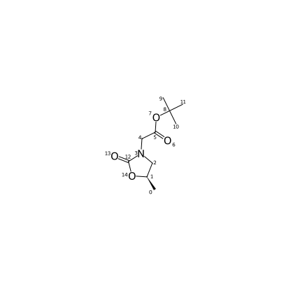 C[C@@H]1CN(CC(=O)OC(C)(C)C)C(=O)O1